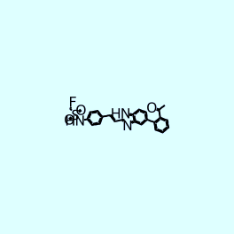 CC(=O)c1ccccc1-c1ccc2[nH]c(/C=C/c3ccc(NS(=O)(=O)CF)cc3)nc2c1